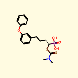 CN(C)C(=S)S[C@H](CCCc1cccc(Oc2ccccc2)c1)P(=O)(O)O